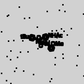 COc1ccccc1CCNC(=O)c1nc(-c2ccc(C(C)(C)C)cc2)oc1-c1ccc(NC(C)=O)cc1